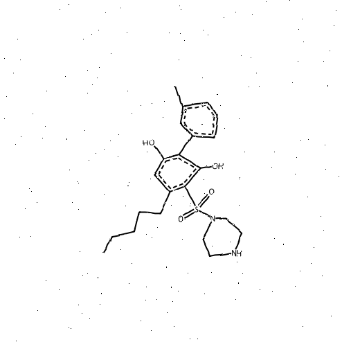 CCCCCc1cc(O)c(-c2cccc(C)c2)c(O)c1S(=O)(=O)N1CCNCC1